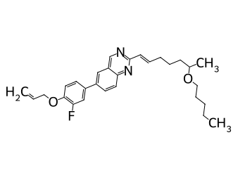 C=CCOc1ccc(-c2ccc3nc(C=CCCCC(C)OCCCCC)ncc3c2)cc1F